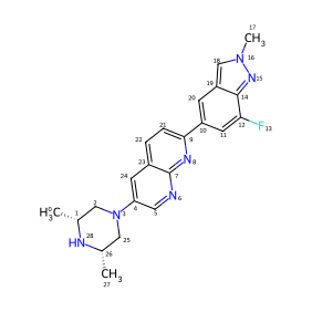 C[C@@H]1CN(c2cnc3nc(-c4cc(F)c5nn(C)cc5c4)ccc3c2)C[C@H](C)N1